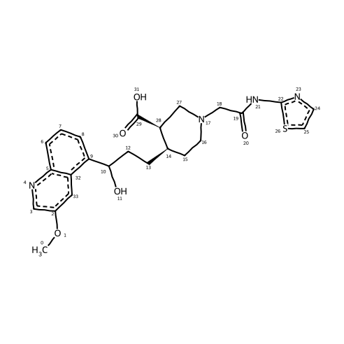 COc1cnc2cccc(C(O)CC[C@@H]3CCN(CC(=O)Nc4nccs4)C[C@@H]3C(=O)O)c2c1